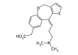 CN(C)CCC=C1c2cc(CC(=O)O)ccc2OCc2ccsc21